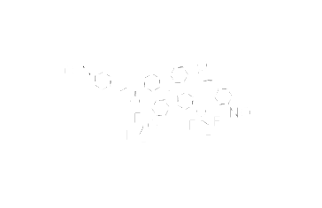 O=C(C=Cc1ccc([N+](=O)[O-])cc1)c1ccc2c(c1)C(c1ccc(OC(F)=C(F)F)cc1)(c1ccc(OC(F)=C(F)F)cc1)c1cc(C(=O)C=Cc3ccc([N+](=O)[O-])cc3)ccc1-2